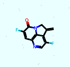 C=C1Cn2c(=O)c(F)cc3ncc(F)c1c32